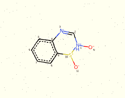 [O-][NH+]1[C]=Nc2ccccc2[S+]1[O-]